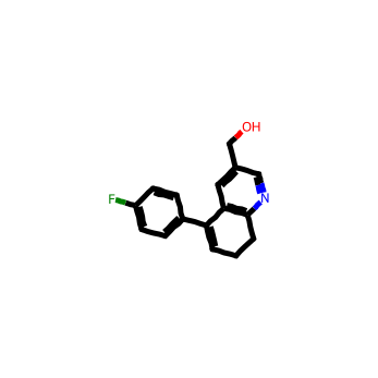 OCc1cnc2c(c1)C(c1ccc(F)cc1)=CCC2